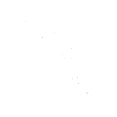 COc1cc(C)c(S(=O)(=O)N2CCc3onc(C(=O)N4CCC5(CC4)CCN(c4ccncc4)CC5)c3C2)c(C)c1